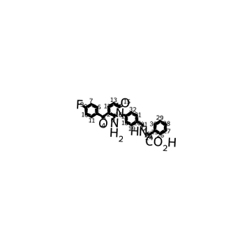 Nc1c(C(=O)c2ccc(F)cc2)ccc(=O)n1-c1ccc(CN[C@H](C(=O)O)c2ccccc2)cc1